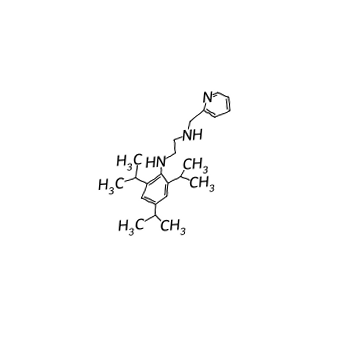 CC(C)c1cc(C(C)C)c(NCCNCc2ccccn2)c(C(C)C)c1